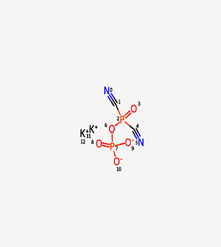 N#CP(=O)(C#N)OP(=O)([O-])[O-].[K+].[K+]